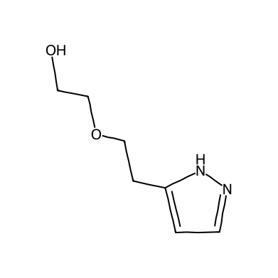 OCCOCCc1ccn[nH]1